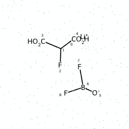 O=C(O)C(F)C(=O)O.[Li+].[O-]B(F)F